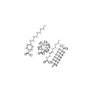 CCCCCC=CCCC(=O)Cl.CCCCCCCCCc1ccc(C(=O)Cl)cc1.O=C(Cl)C(F)(F)C(F)(F)C(F)(F)C(F)(F)C(F)(F)C(F)(F)F.O=C(Cl)C1(F)C(F)(F)C(F)(F)C(F)(F)C(F)(F)C1(F)F